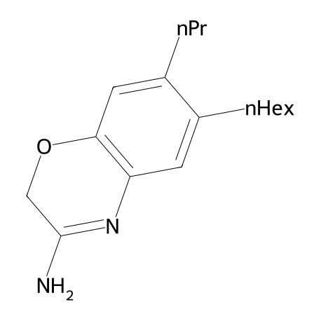 CCCCCCc1cc2c(cc1CCC)OCC(N)=N2